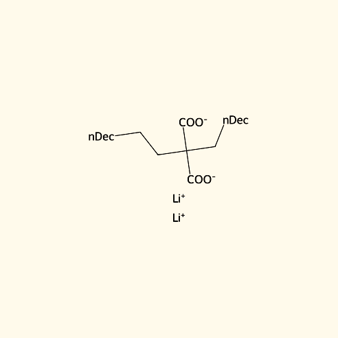 CCCCCCCCCCCCC(CCCCCCCCCCC)(C(=O)[O-])C(=O)[O-].[Li+].[Li+]